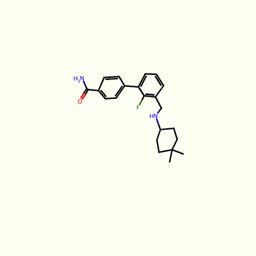 CC1(C)CCC(NCc2cccc(-c3ccc(C(N)=O)cc3)c2F)CC1